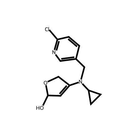 OC1C=C(N(Cc2ccc(Cl)nc2)C2CC2)CO1